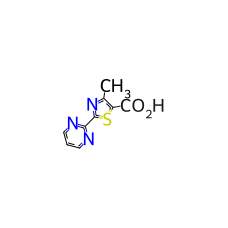 Cc1nc(-c2ncccn2)sc1C(=O)O